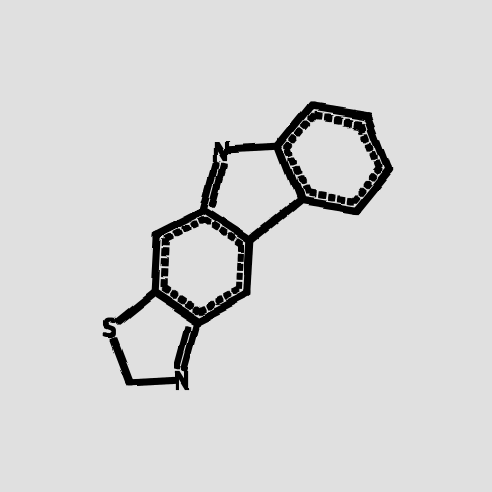 c1ccc2c(c1)N=c1cc3c(cc1-2)=NCS3